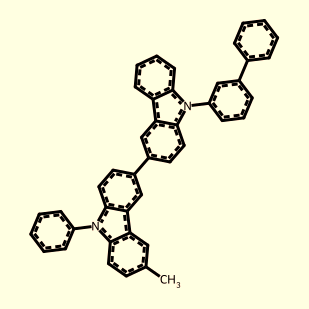 Cc1ccc2c(c1)c1cc(-c3ccc4c(c3)c3ccccc3n4-c3cccc(-c4ccccc4)c3)ccc1n2-c1ccccc1